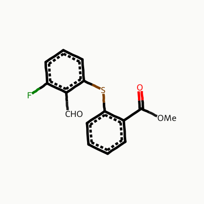 COC(=O)c1ccccc1Sc1cccc(F)c1C=O